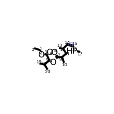 CCOC(=O)C(OC(=O)C(C)CC(C)/C=C\PC)C(C)C